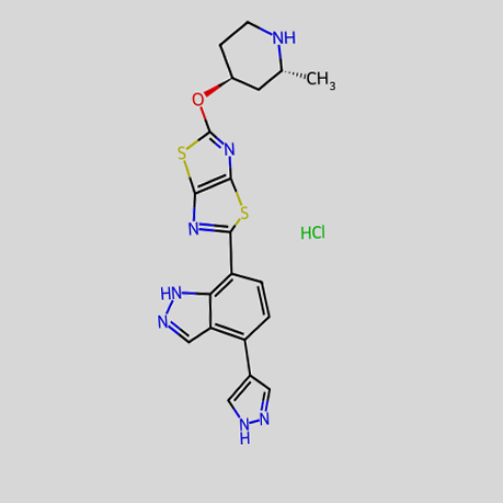 C[C@@H]1C[C@@H](Oc2nc3sc(-c4ccc(-c5cn[nH]c5)c5cn[nH]c45)nc3s2)CCN1.Cl